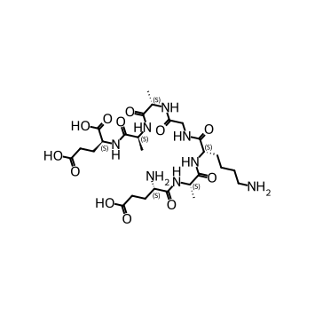 C[C@H](NC(=O)CNC(=O)[C@H](CCCCN)NC(=O)[C@H](C)NC(=O)[C@@H](N)CCC(=O)O)C(=O)N[C@@H](C)C(=O)N[C@@H](CCC(=O)O)C(=O)O